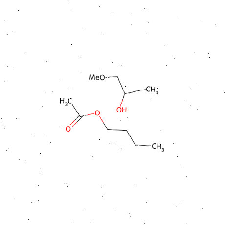 CCCCOC(C)=O.COCC(C)O